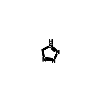 C1N=NN=[SiH]1